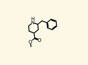 COC(=O)C1CCNC(Cc2ccccc2)C1